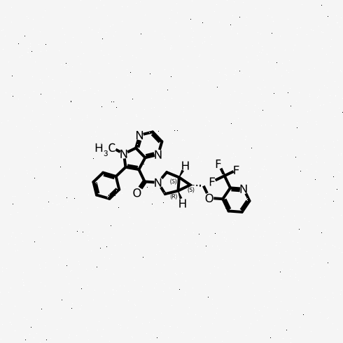 Cn1c(-c2ccccc2)c(C(=O)N2C[C@@H]3[C@H](COc4cccnc4C(F)(F)F)[C@@H]3C2)c2nccnc21